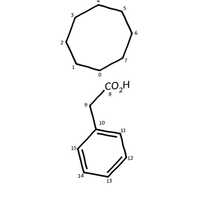 C1CCCCCCC1.O=C(O)Cc1ccccc1